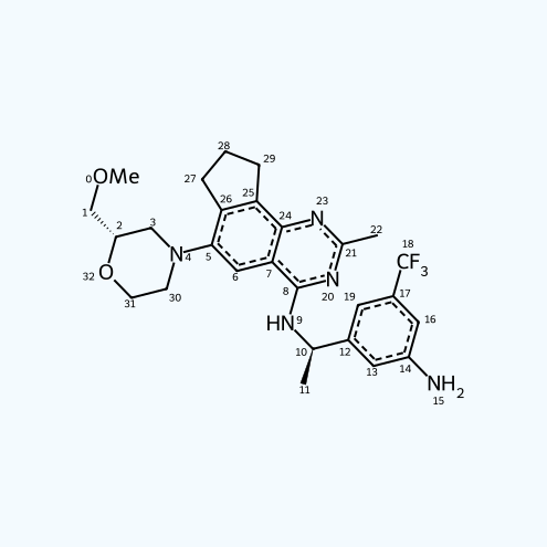 COC[C@@H]1CN(c2cc3c(N[C@H](C)c4cc(N)cc(C(F)(F)F)c4)nc(C)nc3c3c2CCC3)CCO1